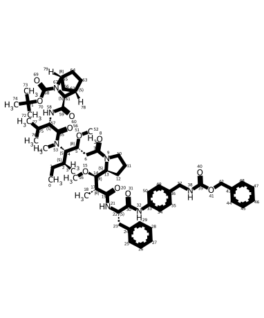 CC[C@H](C)[C@@H]([C@@H](CC(=O)N1CCC[C@H]1[C@H](OC)[C@@H](C)C(=O)N[C@@H](Cc1ccccc1)C(=O)Nc1ccc(CNC(=O)OCc2ccccc2)cc1)OC)N(C)C(=O)[C@@H](NC(=O)[C@@H]1[C@H]2CC[C@H](C2)N1C(=O)OC(C)(C)C)C(C)C